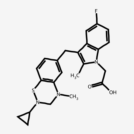 Cc1c(Cc2ccc3c(c2)N(C)CN(C2CC2)S3)c2cc(F)ccc2n1CC(=O)O